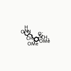 COc1cc(C=CC2=NNC(=O)CC2C)cc([S+](C)[O-])c1OC